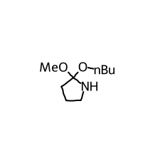 CCCCOC1(OC)CCCN1